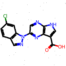 O=C(O)c1c[nH]c2ncc(-n3ncc4ccc(Cl)cc43)nc12